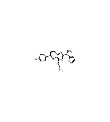 CCOc1nc(C(N)c2ncco2)nc2ccc(-c3ccc(F)cc3)nc12